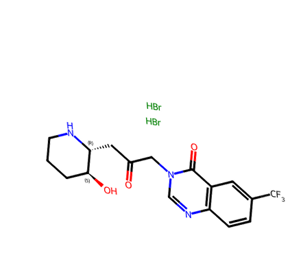 Br.Br.O=C(C[C@H]1NCCC[C@@H]1O)Cn1cnc2ccc(C(F)(F)F)cc2c1=O